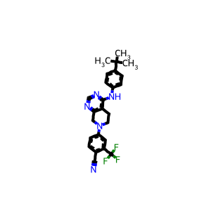 CC(C)(C)c1ccc(Nc2ncnc3c2CCN(c2ccc(C#N)c(C(F)(F)F)c2)C3)cc1